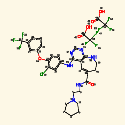 O=C(NCCN1CCCCC1)C1=Cc2c(ncnc2Nc2ccc(Oc3cccc(C(F)(F)F)c3)c(Cl)c2)NCC1.O=C(O)C(F)(F)F.O=C(O)C(F)(F)F